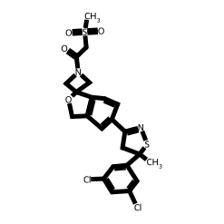 CC1(c2cc(Cl)cc(Cl)c2)CC(c2ccc3c(c2)COC32CN(C(=O)CS(C)(=O)=O)C2)=NS1